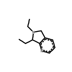 CCC1c2ncccc2CN1CC